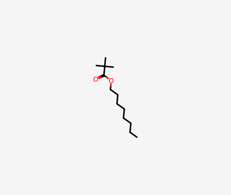 CCCCCCCCOC(=O)C(C)(C)C